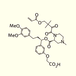 C=CC(=O)OCC(C)(C)C(=O)C(=O)N1CCN(C)C[C@H]1C(=O)O[C@H](CCc1ccc(OC)c(OC)c1)c1cccc(OCC(=O)O)c1